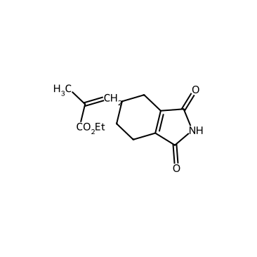 C=C(C)C(=O)OCC.O=C1NC(=O)C2=C1CCCC2